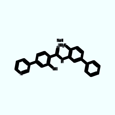 O=C(Nc1cc(-c2ccccc2)ccc1C(=O)O)c1ccc(-c2cccnc2)cc1O.[NaH]